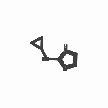 c1c[nH]c(NC2CC2)n1